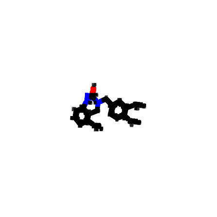 COc1ccc(CN2Cc3c(cccc3[N+](=O)[O-])NC2=O)cc1OC